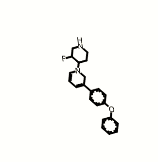 FC1CNCCC1N1C=CC=C(c2ccc(Oc3ccccc3)cc2)C1